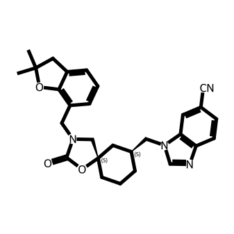 CC1(C)Cc2cccc(CN3C[C@@]4(CCC[C@H](Cn5cnc6ccc(C#N)cc65)C4)OC3=O)c2O1